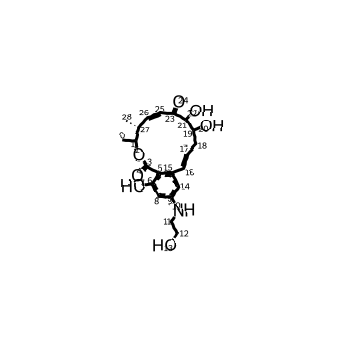 CC1OC(=O)c2c(O)cc(NCCO)cc2/C=C/CC(O)C(O)C(=O)/C=C\[C@H]1C